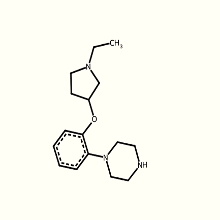 CCN1CCC(Oc2ccccc2N2CCNCC2)C1